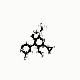 CCn1ncc2c(-c3ccnc(Cl)c3)c(C=O)c(C3CC3)nc21